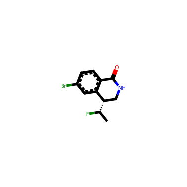 CC(F)[C@H]1CNC(=O)c2ccc(Br)cc21